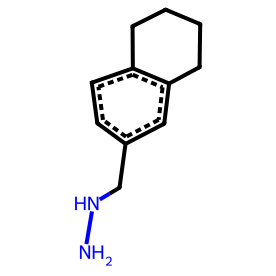 NNCc1ccc2c(c1)CCCC2